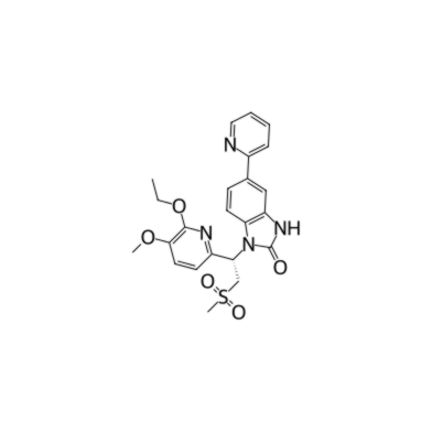 CCOc1nc([C@@H](CS(C)(=O)=O)n2c(=O)[nH]c3cc(-c4ccccn4)ccc32)ccc1OC